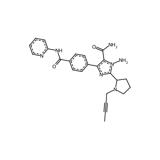 CC#CCN1CCCC1c1nc(-c2ccc(C(=O)Nc3ccccn3)cc2)c(C(N)=O)n1N